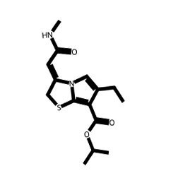 CCc1cn2c(c1C(=O)OC(C)C)SCC2=CC(=O)NC